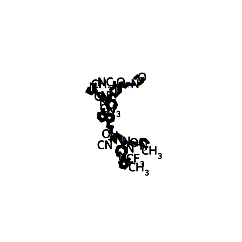 Cc1cccc(N2CCCc3c(nc(OC[C@@H]4CCCN4C)nc3N3CCN(C(=O)/C=C/c4ccc(N5CCCc6c(nc(OC[C@@H]7CCCN7C)nc6N6CCN(C(=O)/C=C/CN7CCOCC7)C(CC#N)C6)C5)c5c(C)cccc45)[C@@H](CC#N)C3)C2)c1C(F)(F)F